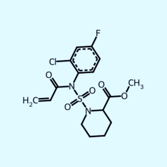 C=CC(=O)N(c1ccc(F)cc1Cl)S(=O)(=O)N1CCCCC1C(=O)OC